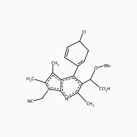 Cc1nc2c(c(C)c(C)n2CC#N)c(C2=CCC(Cl)C=C2)c1C(OC(C)(C)C)C(=O)O